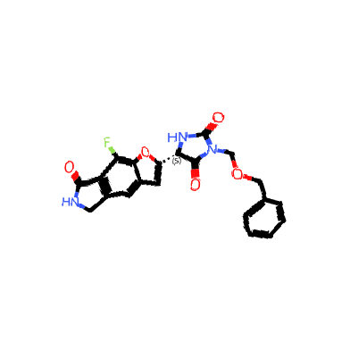 O=C1NCc2cc3cc([C@@H]4NC(=O)N(COCc5ccccc5)C4=O)oc3c(F)c21